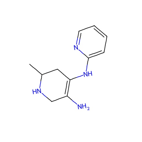 CC1CC(Nc2ccccn2)=C(N)CN1